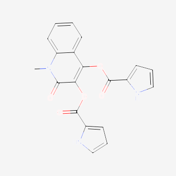 Cn1c(=O)c(OC(=O)c2ccc[nH]2)c(OC(=O)c2ccc[nH]2)c2ccccc21